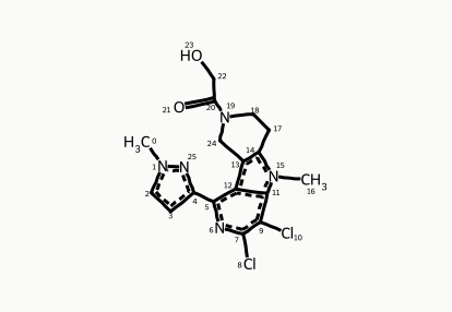 Cn1ccc(-c2nc(Cl)c(Cl)c3c2c2c(n3C)CCN(C(=O)CO)C2)n1